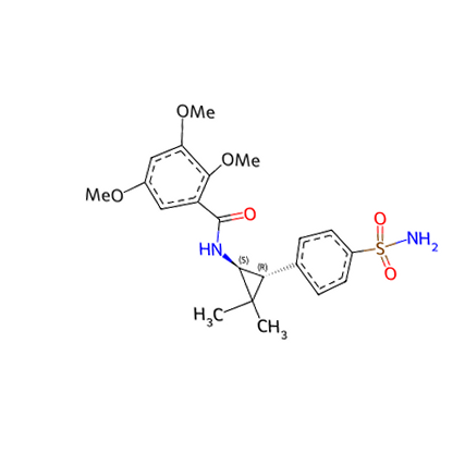 COc1cc(OC)c(OC)c(C(=O)N[C@H]2[C@H](c3ccc(S(N)(=O)=O)cc3)C2(C)C)c1